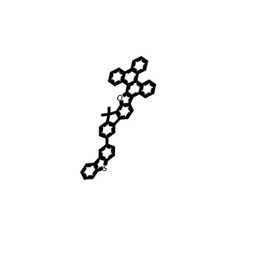 CC1(C)c2ccc(-c3ccc4sc5ccccc5c4c3)cc2-c2ccc3c(oc4c3c3ccccc3c3c5ccccc5c5ccccc5c43)c21